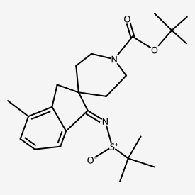 Cc1cccc2c1CC1(CCN(C(=O)OC(C)(C)C)CC1)C2=N[S+]([O-])C(C)(C)C